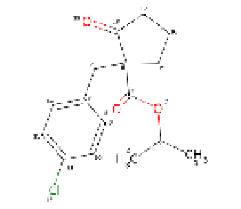 CC(C)OC(=O)C1(Cc2ccc(Cl)cc2)CCCC1=O